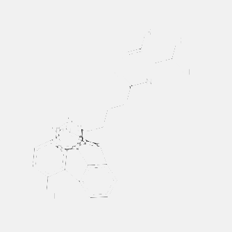 Cc1ccc2[nH]c3c(Br)c2c1-c1cccc-3c1-c1nnnn1CCOC(=O)N[C@H](C(=O)O)C(C)C